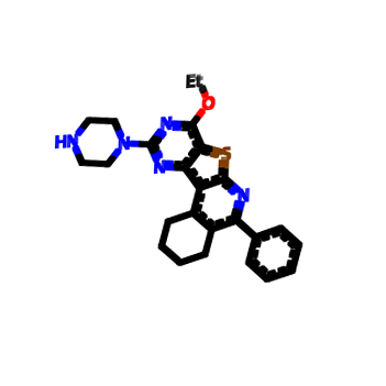 CCOc1nc(N2CCNCC2)nc2c1sc1nc(-c3ccccc3)c3c(c12)CCCC3